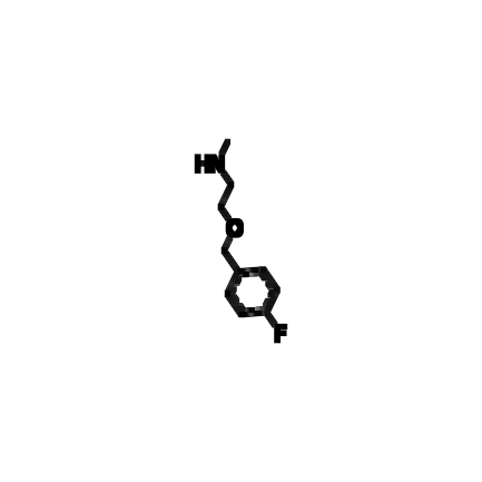 CNCCOCc1ccc(F)cc1